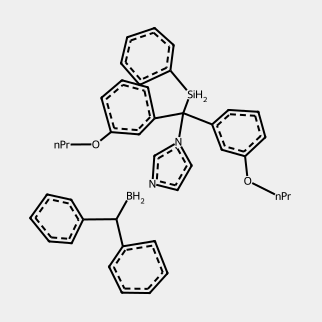 BC(c1ccccc1)c1ccccc1.CCCOc1cccc(C([SiH2]c2ccccc2)(c2cccc(OCCC)c2)n2ccnc2)c1